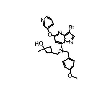 COc1ccc(CN(CC2CC(C)(O)C2)c2cc(Oc3cccnc3)nc3c(Br)cnn23)cc1